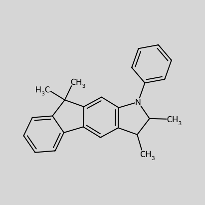 CC1c2cc3c(cc2N(c2ccccc2)C1C)C(C)(C)c1ccccc1-3